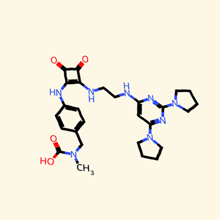 CN(Cc1ccc(Nc2c(NCCNc3cc(N4CCCC4)nc(N4CCCC4)n3)c(=O)c2=O)cc1)C(=O)O